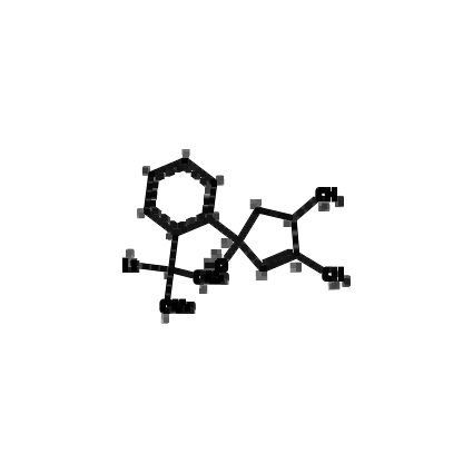 CCC(OC)(OC)c1ccccc1C1(O)C=C(C)C(C)C1